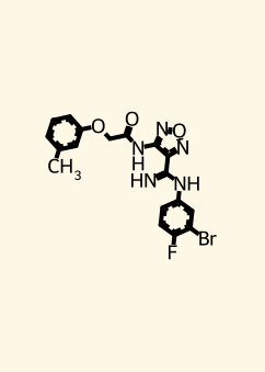 Cc1cccc(OCC(=O)Nc2nonc2C(=N)Nc2ccc(F)c(Br)c2)c1